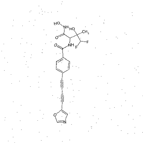 CC(O)(C(F)F)C(NC(=O)c1ccc(C#CC#Cc2cnco2)cc1)C(=O)NO